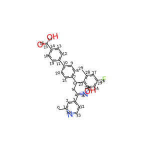 Cc1cc(/C(CC(c2ccc(-c3ccc(C(=O)O)cc3)cc2)c2ccc(F)cc2C)=N/O)ccn1